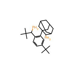 CC(C)(C)c1ccc(C(P)C(C)(C)C)c(C23CC4CC(CC(C4)C2P)C3)c1